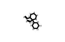 C=CC1CCCCC1(C=C)C1CCCCC1